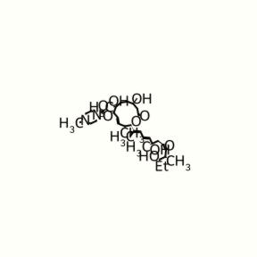 CC[C@H](O)[C@@H](C)[C@H]1O[C@@H]1C[C@@](C)(O)/C=C/C=C(\C)[C@H]1OC(=O)C[C@H](O)CC[C@@](C)(O)[C@@H](OC(=O)N2CCN(C)CC2)/C=C/[C@@H]1C